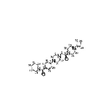 O=C(CN1CCN(c2ccc(C(=O)N3CCCCC3)cc2)CC1)N1CCN(C2CCC2)CC1